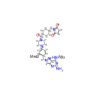 CCCCNc1nc(N)nc2cn(Cc3ccc(N4CCN(C(=O)C5CCC(CN6C(=O)C=CC6=O)CC5)CC4)cc3OC)nc12